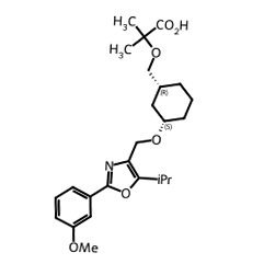 COc1cccc(-c2nc(CO[C@H]3CCC[C@@H](COC(C)(C)C(=O)O)C3)c(C(C)C)o2)c1